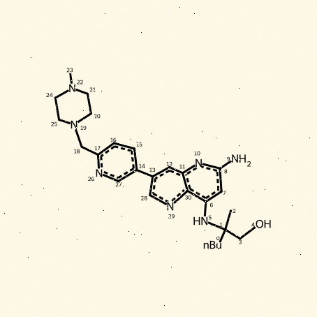 CCCCC(C)(CO)Nc1cc(N)nc2cc(-c3ccc(CN4CCN(C)CC4)nc3)cnc12